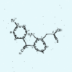 Nc1c(CC(O)=S)cccc1C(=O)c1ccc(Br)cc1